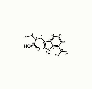 CC[C@@H](Cc1c[nH]c2c(C(C)C)cccc12)C(=O)O